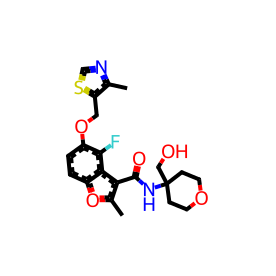 Cc1ncsc1COc1ccc2oc(C)c(C(=O)NC3(CO)CCOCC3)c2c1F